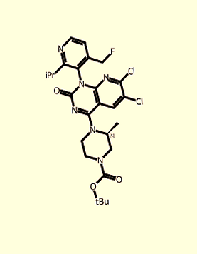 CC(C)c1nccc(CF)c1-n1c(=O)nc(N2CCN(C(=O)OC(C)(C)C)C[C@@H]2C)c2cc(Cl)c(Cl)nc21